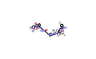 Cc1[nH]c(/C=C2\C(=O)Nc3ccc(F)cc32)c(C)c1C(=O)NCCCN1CCN(CCCC(=O)NCCCNc2cccc3c2C(=O)N(C2CCC(=O)NC2=O)C3=O)CC1